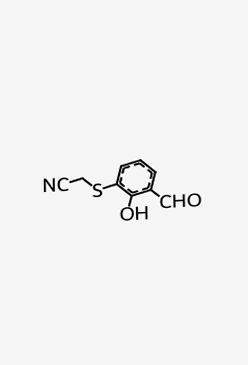 N#CCSc1cccc(C=O)c1O